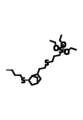 CCCCSC1CC2CC(CCSCCC[Si](OCC)(OCC)OCC)C1C2